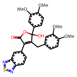 COc1ccc(CC2=C(c3ccc4nsnc4c3)C(=O)OC2(O)c2ccc(OC)c(OC)c2)cc1OC